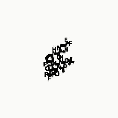 CCN1C(=O)[C@@H]2[C@@H](C(F)(F)F)OC[C@]2(c2cc(NC(=O)c3cnc(C(F)F)cn3)ccc2F)N=C1NC(=O)OC(C)(C)C